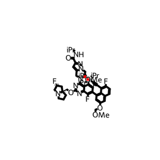 COCOc1cc(-c2c(F)c(OC)c3c(N4CCn5nc(C(=O)NC(C)C)cc5C4)nc(OC[C@@]45CCCN4C[C@H](F)C5)nc3c2F)c2c(C#C[Si](C(C)C)(C(C)C)C(C)C)c(F)ccc2c1